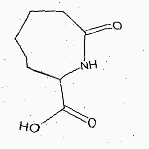 O=C1CCCCC(C(=O)O)N1